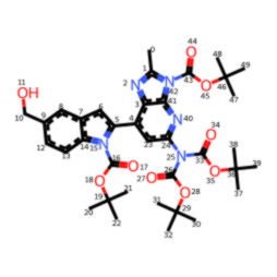 Cc1nc2c(-c3cc4cc(CO)ccc4n3C(=O)OC(C)(C)C)cc(N(C(=O)OC(C)(C)C)C(=O)OC(C)(C)C)nc2n1C(=O)OC(C)(C)C